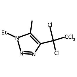 CCn1nnc(C(Cl)(Cl)C(Cl)(Cl)Cl)c1C